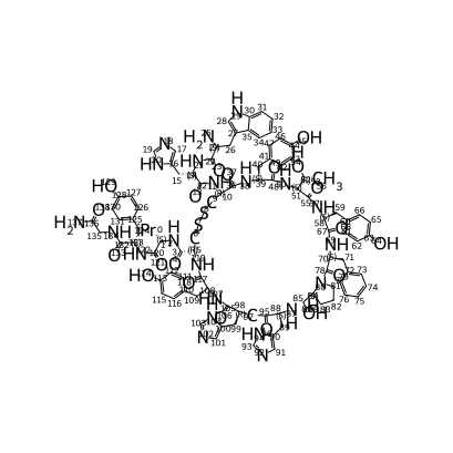 CC(C)[C@H](NC(=O)[C@@H]1CSSC[C@H](NC(=O)[C@H](Cc2cnc[nH]2)NC(=O)[C@@H](N)Cc2c[nH]c3ccccc23)C(=O)N[C@@H](Cc2ccc(O)cc2)C(=O)N[C@@H]([C@@H](C)O)C(=O)N[C@@H](Cc2ccc(O)cc2)C(=O)N[C@@H](Cc2ccccc2)C(=O)N2CCC[C@H]2C(O)N[C@@H](Cc2cnc[nH]2)C(=O)C[C@@H](Cc2cnc[nH]2)C(=O)NC(Cc2ccc(O)cc2)C(=O)N1)C(=O)N[C@@H](Cc1ccc(O)cc1)C(=O)NCC(N)=O